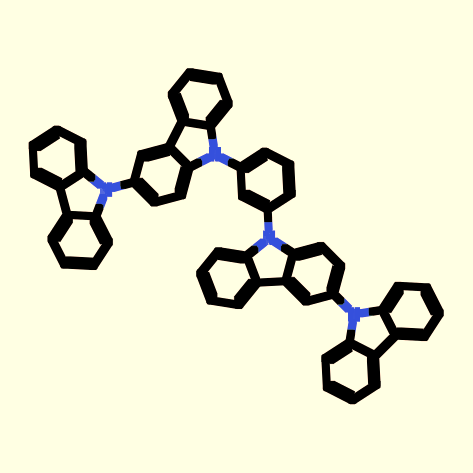 c1cc(-n2c3ccccc3c3cc(-n4c5ccccc5c5ccccc54)ccc32)cc(-n2c3ccccc3c3cc(-n4c5ccccc5c5ccccc54)ccc32)c1